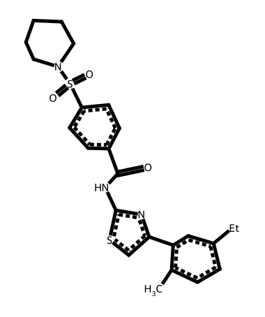 CCc1ccc(C)c(-c2csc(NC(=O)c3ccc(S(=O)(=O)N4CCCCC4)cc3)n2)c1